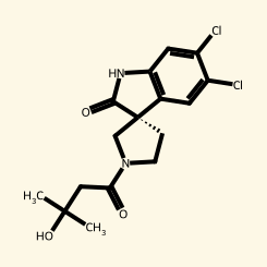 CC(C)(O)CC(=O)N1CC[C@]2(C1)C(=O)Nc1cc(Cl)c(Cl)cc12